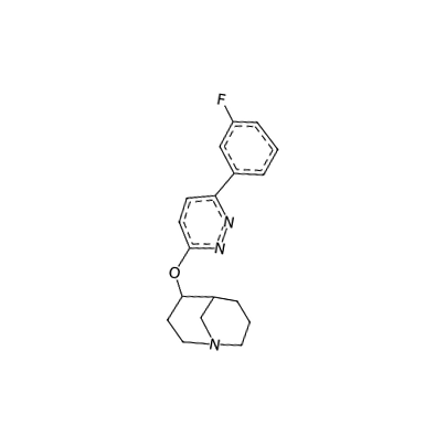 Fc1cccc(-c2ccc(OC3CCN4CCCC3C4)nn2)c1